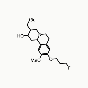 COc1cc2c(cc1OCCCF)CCN1CC(CC(C)(C)C)C(O)CC21